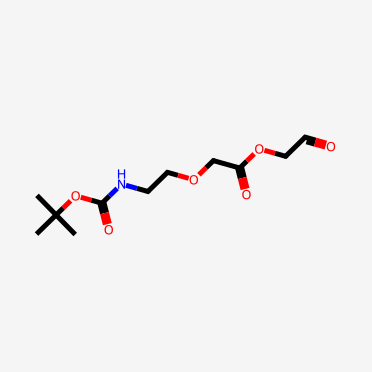 CC(C)(C)OC(=O)NCCOCC(=O)OCC=O